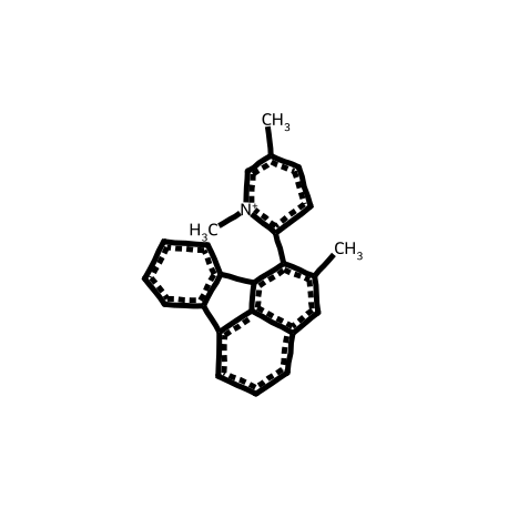 Cc1ccc(-c2c(C)cc3cccc4c3c2-c2ccccc2-4)[n+](C)c1